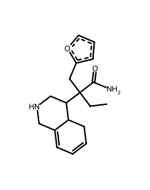 CCC(Cc1ccco1)(C(N)=O)C1CNCC2=CC=CCC21